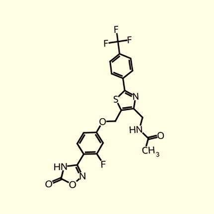 CC(=O)NCc1nc(-c2ccc(C(F)(F)F)cc2)sc1COc1ccc(-c2noc(=O)[nH]2)c(F)c1